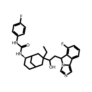 CCC1(C(O)CC2c3c(F)cccc3-c3cncn32)CC2CC[C@@H](NC(=O)Nc3ccc(F)cc3)C(C2)C1